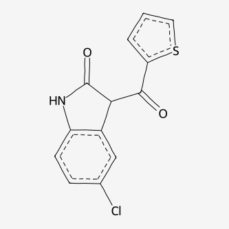 O=C1Nc2ccc(Cl)cc2C1C(=O)c1cccs1